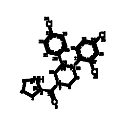 O=C([C@H]1CCCN1)N1CCN(c2ccc(Cl)cc2Cl)[C@H](c2ccc(Cl)cc2)C1